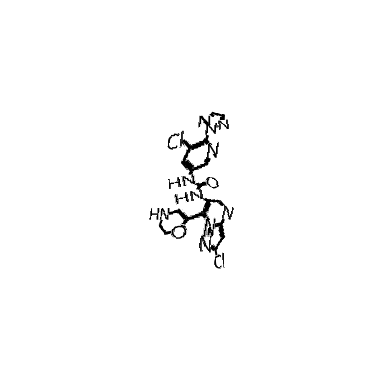 O=C(Nc1cnc(-n2nccn2)c(Cl)c1)Nc1cnc2cc(Cl)nn2c1C1CNCCO1